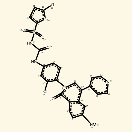 CNc1ccc2c(=O)n(-c3ccc(NC(=O)NS(=O)(=O)c4ccc(Cl)s4)cc3Cl)cc(-c3ccncc3)c2c1